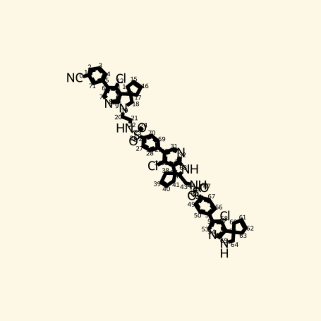 N#Cc1cccc(-c2cnc3c(c2Cl)C2(CC=CC2)CN3CCNS(=O)(=O)c2ccc(-c3cnc4c(c3Cl)C3(CC=CC3)C(CNS(=O)(=O)c3ccc(-c5cnc6c(c5Cl)C5(CC=CC5)CN6)cc3)N4)cc2)c1